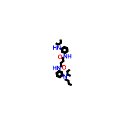 CCCCN(c1cccc(NC(=O)CCC(=O)Nc2cccc(NC(C)CC)c2)c1)C(C)CC